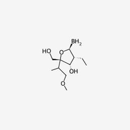 B[C@@H]1O[C@@](CO)(C(C)COC)[C@@H](O)[C@H]1CC